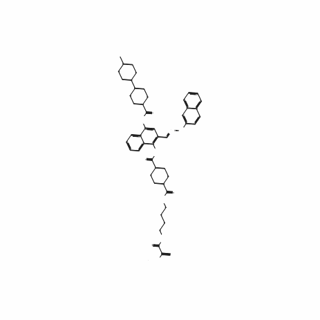 C=C(OC)C(=O)OCCCCOC(=O)C1CCC(C(=O)Oc2c(/C=N/Nc3ccc4ccccc4c3)cc(OC(=O)C3CCC(C4CCC(C)CC4)CC3)c3ccccc23)CC1